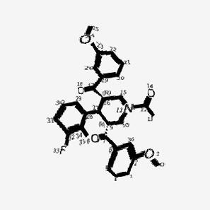 COc1cccc(C(=O)[C@H]2CN(C(C)=O)C[C@H](C(=O)c3cccc(OC)c3)C2c2cccc(F)c2C)c1